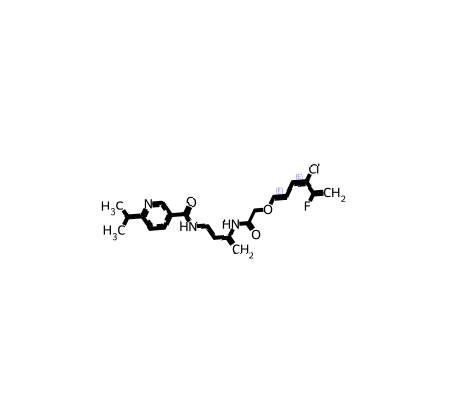 C=C(CCNC(=O)c1ccc(C(C)C)nc1)NC(=O)CO/C=C/C=C(/Cl)C(=C)F